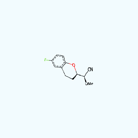 CO[C@H](C#N)[C@H]1CCc2cc(F)ccc2O1